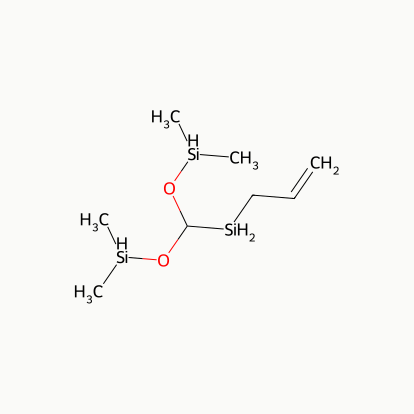 C=CC[SiH2]C(O[SiH](C)C)O[SiH](C)C